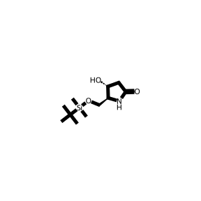 CC(C)(C)[Si](C)(C)OC[C@@H]1NC(=O)C[C@H]1O